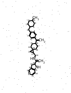 C=C(c1ccc(CC2CCC(C)CC2)cc1)C1CCC2(CC1)CC2CNC(=C)C1Cc2cnccc2N1